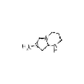 CN1CC2NCCCN2C1